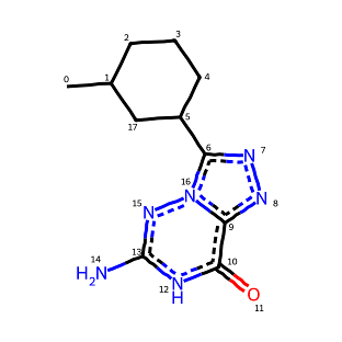 CC1CCCC(c2nnc3c(=O)[nH]c(N)nn23)C1